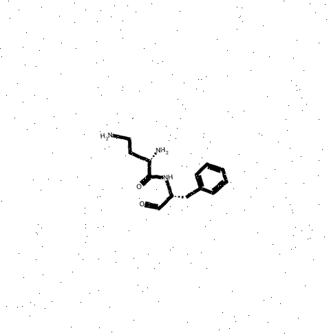 NCC[C@H](N)C(=O)N[C@@H](C=O)Cc1ccccc1